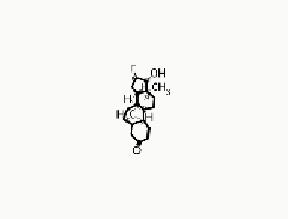 C[C@]12CC[C@H]3[C@@H](CCC4CC(=O)CC[C@@]43C)[C@@H]1C[C@@H](F)[C@@H]2O